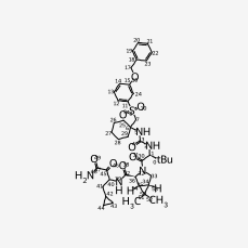 CC(C)(C)[C@H](NC(=O)NC1(CS(=O)(=O)c2cccc(OCc3ccccc3)c2)CCCCC1)C(=O)N1C[C@H]2[C@@H]([C@H]1C(=O)NC(CC1CC1)C(=O)C(N)=O)C2(C)C